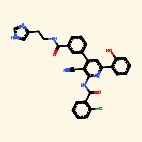 N#Cc1c(-c2cccc(C(=O)NCCc3c[nH]cn3)c2)cc(-c2ccccc2O)nc1NC(=O)c1ccccc1Cl